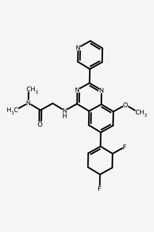 COc1cc(C2=CCC(F)CC2F)cc2c(NCC(=O)N(C)C)nc(-c3cccnc3)nc12